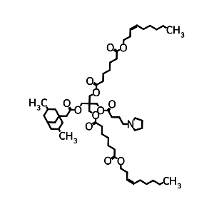 CCCCC/C=C\CCOC(=O)CCCCCC(=O)OCC(COC(=O)CCCCCC(=O)OCC/C=C\CCCCC)(COC(=O)CCCN1CCCC1)COC(=O)CC12CC(C)CC(CC(C)C1)C2